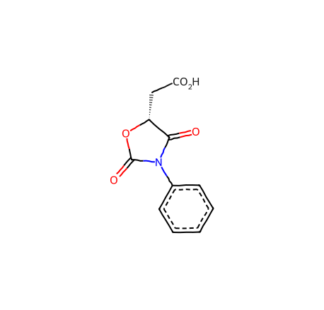 O=C(O)C[C@H]1OC(=O)N(c2ccccc2)C1=O